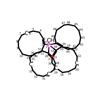 CP(C1=CCCCCCCCCCC1)(C1=CCCCCCCCCCC1)(C1=CCCCCCCCCCC1)C1=CCCCCCCCCCC1